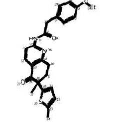 CCSc1ccc(CC(=O)Nc2ccc3c(n2)CCC(C)(c2ccc(C)s2)C3=O)cc1